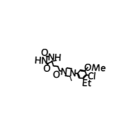 CCc1cc(N2CCN(C(=O)CC[C@@]3(C)NC(=O)NC3=O)C[C@@H]2C)cc(OC)c1Cl